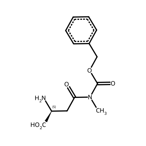 CN(C(=O)C[C@H](N)C(=O)O)C(=O)OCc1ccccc1